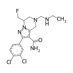 CCNCN1Cc2c(C(N)=O)c(-c3ccc(Cl)c(Cl)c3)nn2C(CF)C1